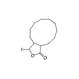 O=C1OC(I)C2CCCCCCCCCC12